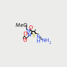 COCCn1c(=O)c2c(C)c(CNCCN)sc2n(CC2CCO2)c1=O